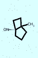 CC12CCC[C@@]1(N=O)CC2